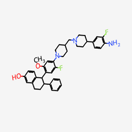 COc1cc(N2CCC(CN3CCC(c4ccc(N)c(F)c4)CC3)CC2)c(F)cc1C1c2ccc(O)cc2CCC1c1ccccc1